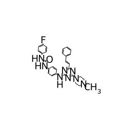 CN1CCN(c2nc(/C=C/c3ccccc3)nc(Nc3ccc(NC(=O)Nc4ccc(F)cc4)cc3)n2)CC1